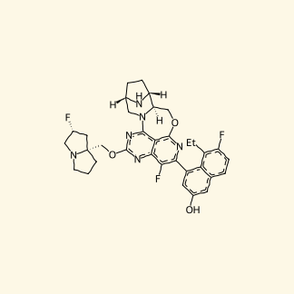 CCc1c(F)ccc2cc(O)cc(-c3nc4c5c(nc(OC[C@]67CCCN6C[C@H](F)C7)nc5c3F)N3C[C@@H]5CC[C@@H](N5)[C@H]3CO4)c12